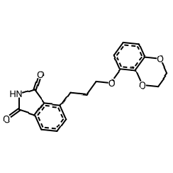 O=C1NC(=O)c2c(CCCOc3cccc4c3OCCO4)cccc21